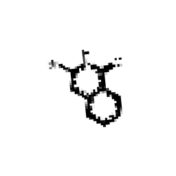 O=c1[nH]c(Br)cc2ccccc12